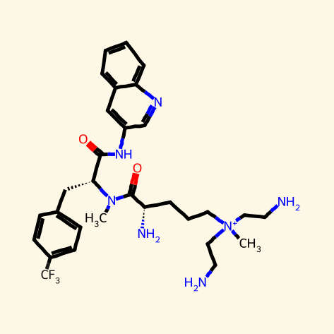 CN(C(=O)[C@@H](N)CCC[N+](C)(CCN)CCN)[C@H](Cc1ccc(C(F)(F)F)cc1)C(=O)Nc1cnc2ccccc2c1